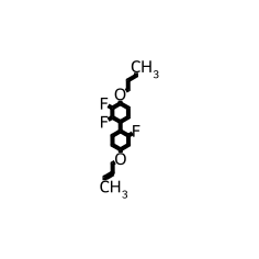 CC=CCOC1CCC(C2CCC(OCCCC)C(F)C2F)C(F)C1